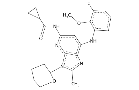 COc1c(F)cccc1Nc1cc(NC(=O)C2CC2)nc2c1nc(C)n2C1CCCCO1